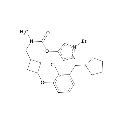 CCn1cc(OC(=O)N(C)CC2CC(Oc3cccc(CN4CCCC4)c3Cl)C2)cn1